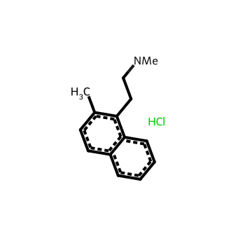 CNCCc1c(C)ccc2ccccc12.Cl